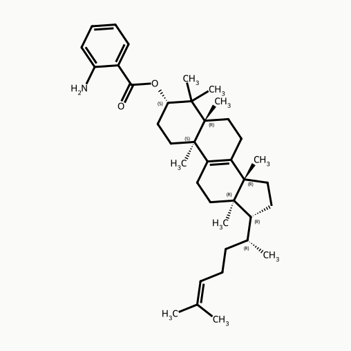 CC(C)=CCC[C@@H](C)[C@H]1CC[C@@]2(C)C3=C(CC[C@]12C)[C@@]1(C)CC[C@H](OC(=O)c2ccccc2N)C(C)(C)[C@]1(C)CC3